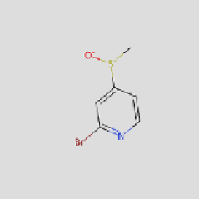 C[S+]([O-])c1ccnc(Br)c1